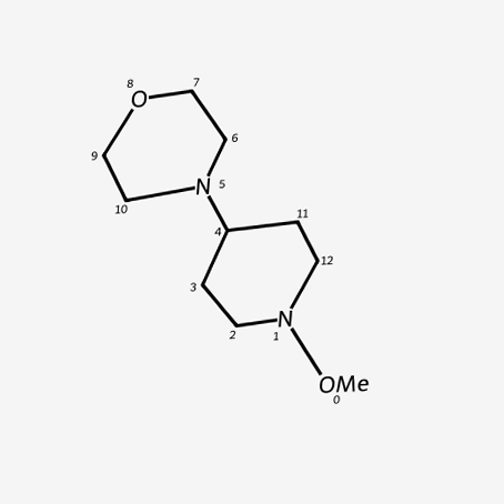 CON1CCC(N2CCOCC2)CC1